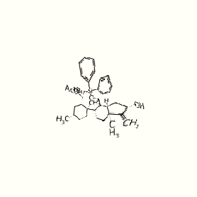 C=C1[C@@H](O)C[C@H]2[C@H](CO[Si](c3ccccc3)(c3ccccc3)C(C)(C)C)[C@@H]([C@@]3(C)CC[C@H](C)C[C@@H]3COC(C)=O)CC[C@]12C